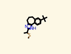 CSC(C)c1nc2c([nH]1)-c1ccc(C(C)(C)C)cc1CCC2